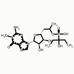 CCC(O)(CC)P(=O)(O)OC(C)C[C@H]1O[C@@H](n2cnc3c(=O)n(C)c(N)nc32)[C@H](O)[C@@H]1O